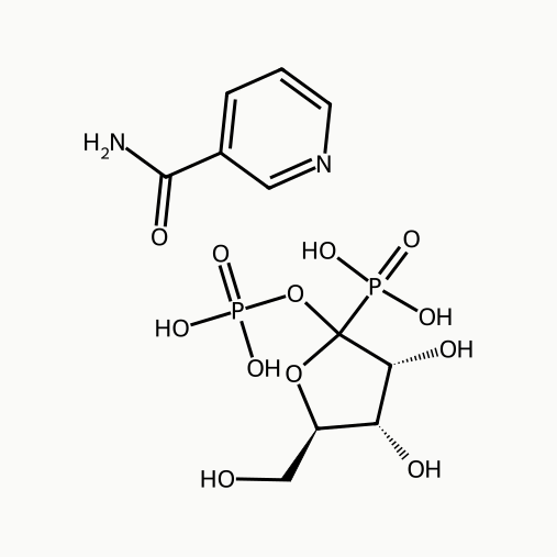 NC(=O)c1cccnc1.O=P(O)(O)OC1(P(=O)(O)O)O[C@H](CO)[C@@H](O)[C@H]1O